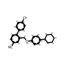 N#Cc1ccc(-c2ccc(Cl)cc2)c(COc2ccc(C3[CH]CCCC3)cc2)c1